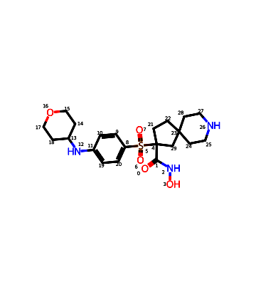 O=C(NO)C1(S(=O)(=O)c2ccc(NC3CCOCC3)cc2)CCC2(CCNCC2)C1